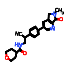 CN1Cc2cc(-c3ccc(C(C#N)CNC(=O)C4CCOCC4)cc3)cnc2C1=O